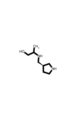 CC(CO)NC[C@@H]1CCNC1